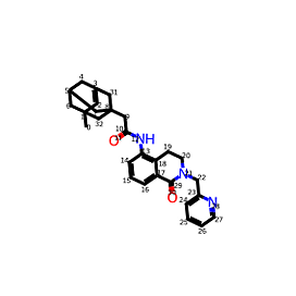 CC12C=C3CC(C1)CC(CC(=O)Nc1cccc4c1CCN(Cc1ccccn1)C4=O)(C3)C2